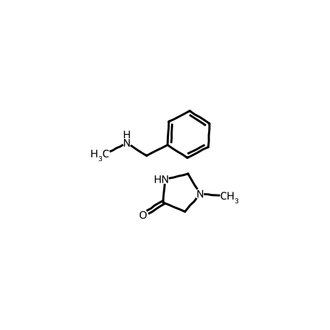 CN1CNC(=O)C1.CNCc1ccccc1